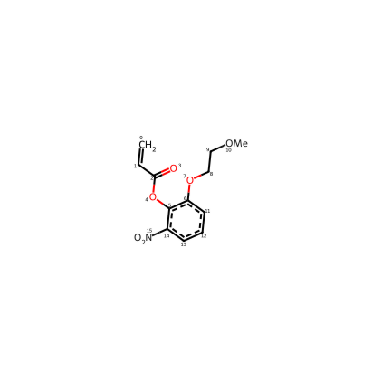 C=CC(=O)Oc1c(OCCOC)cccc1[N+](=O)[O-]